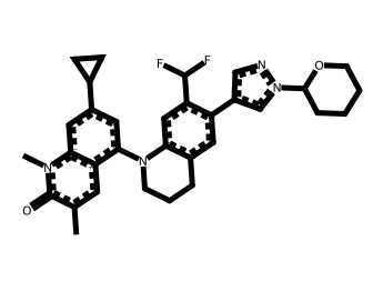 Cc1cc2c(N3CCCc4cc(-c5cnn(C6CCCCO6)c5)c(C(F)F)cc43)cc(C3CC3)cc2n(C)c1=O